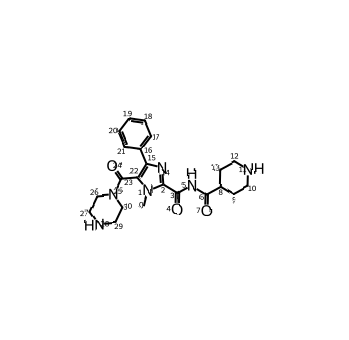 Cn1c(C(=O)NC(=O)C2CCNCC2)nc(-c2ccccc2)c1C(=O)N1CCNCC1